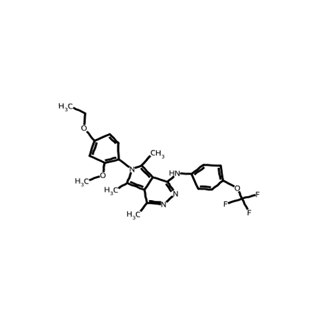 CCOc1ccc(-n2c(C)c3c(C)nnc(Nc4ccc(OC(F)(F)F)cc4)c3c2C)c(OC)c1